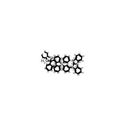 CCC[SiH2]C1([SiH2]CCC)c2ccccc2Oc2c1cccc2[Si](c1ccccc1)(c1ccccc1)c1cccc(-n2c3ccccc3n3c4ccccc4nc23)c1